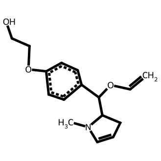 C=COC(c1ccc(OCCO)cc1)C1CC=CN1C